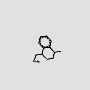 CNCC1OCC(C)c2ccccc21